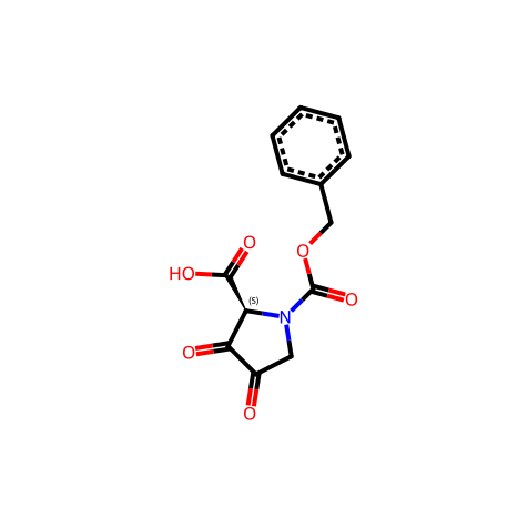 O=C1CN(C(=O)OCc2ccccc2)[C@H](C(=O)O)C1=O